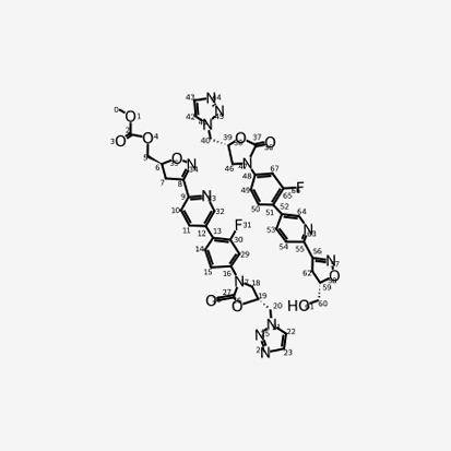 COC(=O)OC[C@@H]1CC(c2ccc(-c3ccc(N4C[C@H](Cn5ccnn5)OC4=O)cc3F)cn2)=NO1.O=C1O[C@@H](Cn2ccnn2)CN1c1ccc(-c2ccc(C3=NO[C@H](CO)C3)nc2)c(F)c1